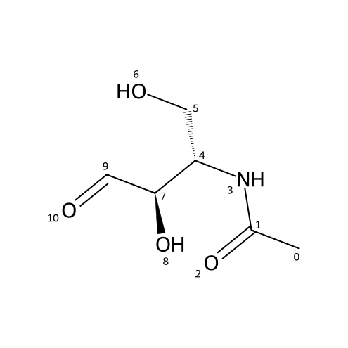 CC(=O)N[C@@H](CO)[C@@H](O)C=O